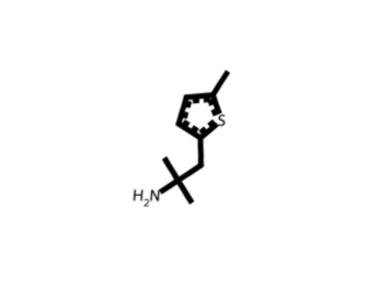 Cc1ccc(CC(C)(C)N)s1